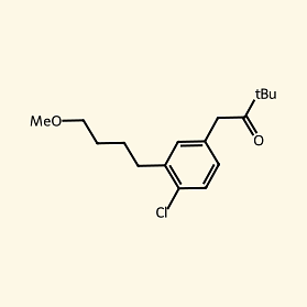 COCCCCc1cc(CC(=O)C(C)(C)C)ccc1Cl